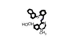 CN1CCN=C(/C=C/c2ccccc2Sc2ccc3ccccc3c2)c2ccccc21.Cl.Cl